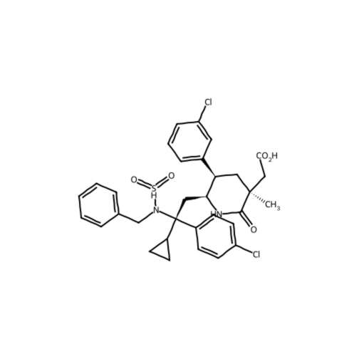 C[C@@]1(CC(=O)O)C[C@H](c2cccc(Cl)c2)[C@H](C[C@@](c2ccc(Cl)cc2)(C2CC2)N(Cc2ccccc2)[SH](=O)=O)NC1=O